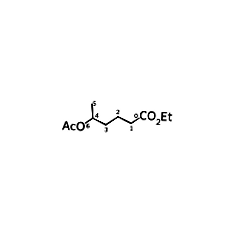 CCOC(=O)CCCC(C)OC(C)=O